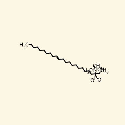 CCCCCCCCCC=CCCCCCCCCCCC(CC)(P(=O)=O)[N+](C)(C)C